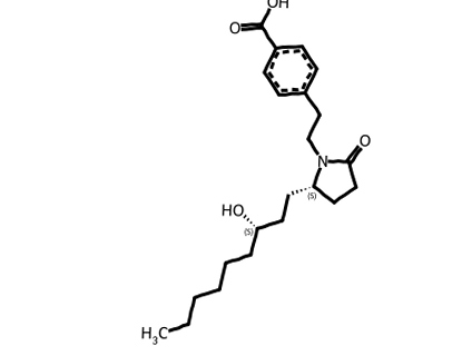 CCCCCC[C@H](O)CC[C@H]1CCC(=O)N1CCc1ccc(C(=O)O)cc1